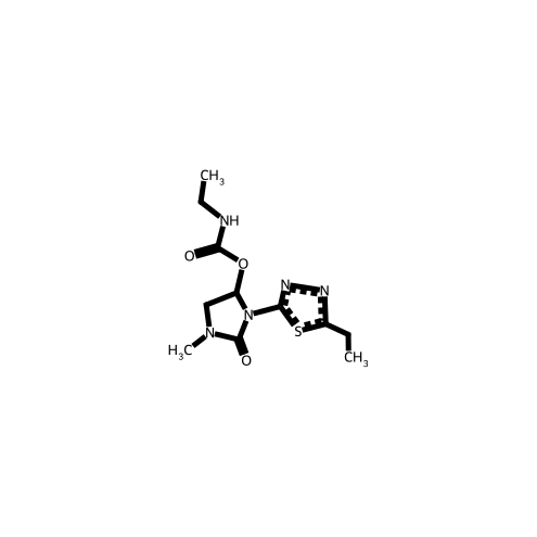 CCNC(=O)OC1CN(C)C(=O)N1c1nnc(CC)s1